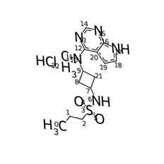 CCCS(=O)(=O)NC1CC(N(C)c2ncnc3[nH]ccc23)C1.Cl